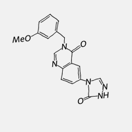 COc1cccc(Cn2cnc3ccc(-n4cn[nH]c4=O)cc3c2=O)c1